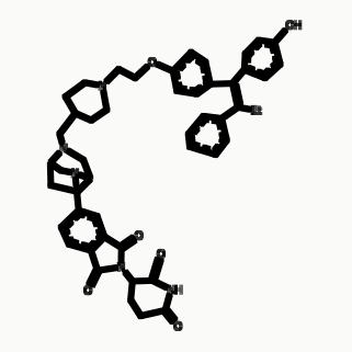 CCC(=C(c1ccc(O)cc1)c1ccc(OCCN2CCC(CN3CC4CCC3CN4c3ccc4c(c3)C(=O)N(C3CCC(=O)NC3=O)C4=O)CC2)cc1)c1ccccc1